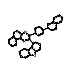 c1ccc2cc(-c3ccc(-c4nc5ccc6ccccc6c5nc4-c4cccc5oc6ccccc6c45)cc3)ccc2c1